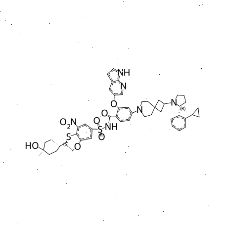 C[C@]1(O)CC[C@H]([C@H]2COc3cc(S(=O)(=O)NC(=O)c4ccc(N5CCC6(CC5)CC(N5CCC[C@@H]5c5ccccc5C5CC5)C6)cc4Oc4cnc5[nH]ccc5c4)cc([N+](=O)[O-])c3S2)CC1